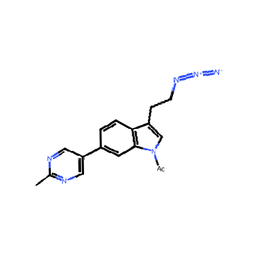 CC(=O)n1cc(CCN=[N+]=[N-])c2ccc(-c3cnc(C)nc3)cc21